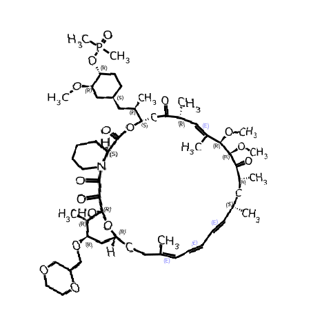 CO[C@@H]1/C(C)=C/[C@@H](C)C(=O)C[C@@H]([C@H](C)C[C@@H]2CC[C@@H](OP(C)(C)=O)[C@H](OC)C2)OC(=O)[C@@H]2CCCCN2C(=O)C(=O)[C@]2(O)O[C@H](CC/C(C)=C/C=C/C=C/[C@@H](C)C[C@@H](C)C(=O)[C@@H]1OC)C[C@@H](OCC1COCCO1)[C@H]2C